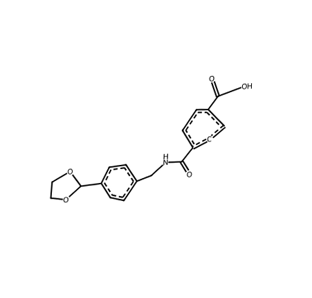 O=C(O)c1ccc(C(=O)NCc2ccc(C3OCCO3)cc2)cc1